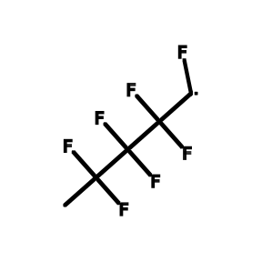 CC(F)(F)C(F)(F)C(F)(F)[CH]F